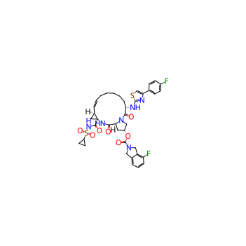 O=C1N[C@]2(C(=O)NS(=O)(=O)C3CC3)C[C@H]2/C=C\CCCCC[C@H](Nc2nc(-c3ccc(F)cc3)cs2)C(=O)N2C[C@H](OC(=O)N3Cc4cccc(F)c4C3)C[C@@H]12